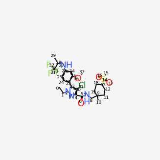 CCn1nc(C(=O)NCC2(C)CCC(S(C)(=O)=O)CC2)c(Cl)c1-c1ccc(N[C@H](C)C(F)(F)F)cc1OC